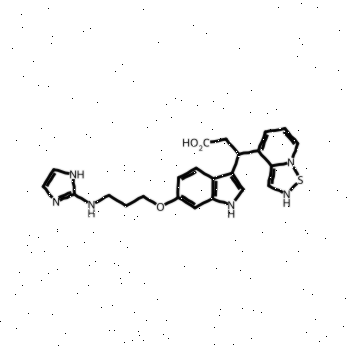 O=C(O)CC(C1=CC=CN2SNC=C12)c1c[nH]c2cc(OCCCNc3ncc[nH]3)ccc12